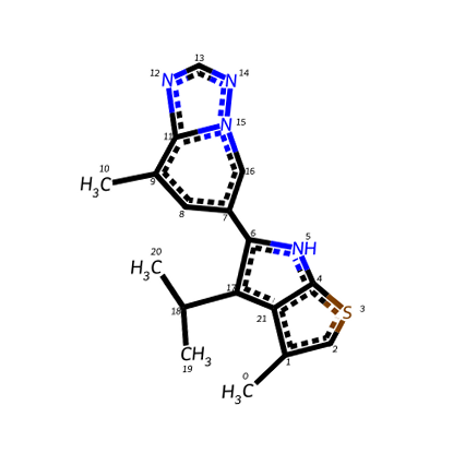 Cc1csc2[nH]c(-c3cc(C)c4ncnn4c3)c(C(C)C)c12